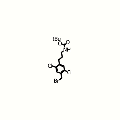 CC(C)(C)OC(=O)NCCCc1cc(Cl)c(CBr)cc1Cl